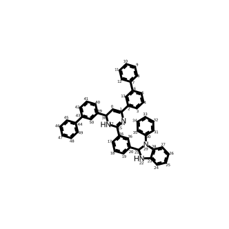 C1=C(c2cccc(-c3ccccc3)c2)N=C(c2cccc(C3Nc4ccccc4N3c3ccccc3)c2)NC1c1cccc(-c2ccccc2)c1